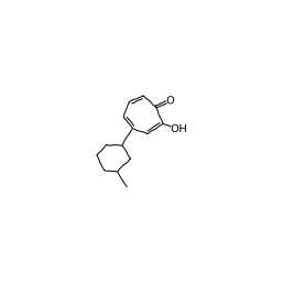 CC1CCCC(c2cccc(=O)c(O)c2)C1